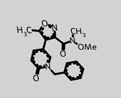 CON(C)C(=O)c1noc(C)c1-c1ccc(=O)n(Cc2ccccc2)c1